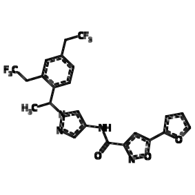 CC(c1ccc(CC(F)(F)F)cc1CC(F)(F)F)n1cc(NC(=O)c2cc(-c3ccco3)on2)cn1